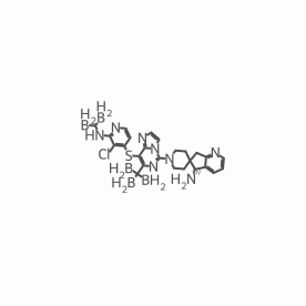 BC(B)Nc1nccc(Sc2c(C(B)(B)B)nc(N3CCC4(CC3)Cc3ncccc3[C@H]4N)n3ccnc23)c1Cl